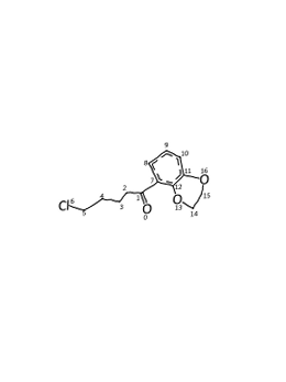 O=C(CCCCCl)c1cccc2c1OCCO2